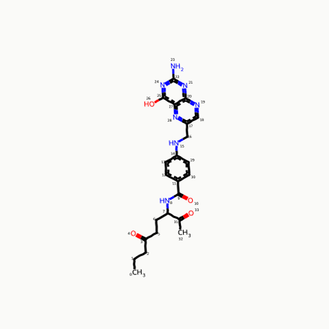 CCCC(=O)CCC(NC(=O)c1ccc(NCc2cnc3nc(N)nc(O)c3n2)cc1)C(C)=O